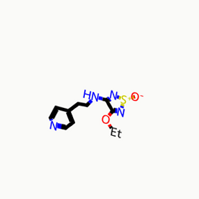 CCOc1n[s+]([O-])nc1NCCc1ccncc1